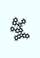 c1ccc(-c2ccc3c(-n4c5cc6ccccc6cc5c5cc6ccccc6cc54)ccc(-c4nc(-c5ccccc5)nc(-c5cccc6ccccc56)n4)c3c2)cc1